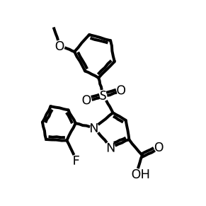 COc1cccc(S(=O)(=O)c2cc(C(=O)O)nn2-c2ccccc2F)c1